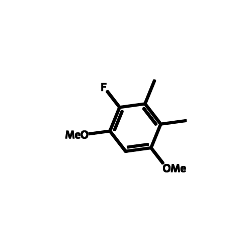 COc1cc(OC)c(F)c(C)c1C